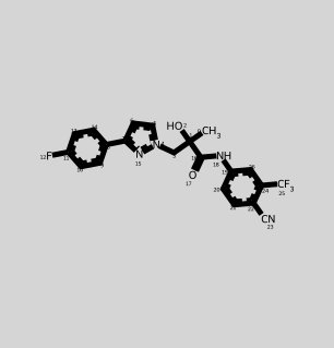 CC(O)(Cn1ccc(-c2ccc(F)cc2)n1)C(=O)Nc1ccc(C#N)c(C(F)(F)F)c1